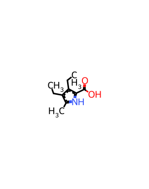 CCc1c(C)[nH]c(C(=O)O)c1CC